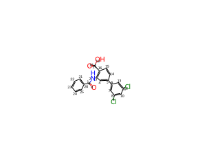 O=C(Nc1cc(-c2cc(Cl)cc(Cl)c2)ccc1C(=O)O)c1ccccc1